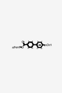 CCCCCCCCC12CCC(c3ccc(C(=O)OCCCCC)cc3)(CC1)CC2